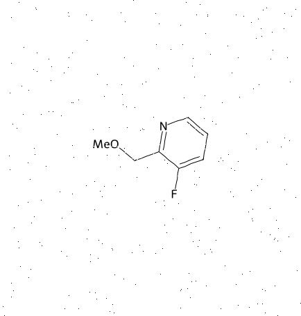 COCc1ncccc1F